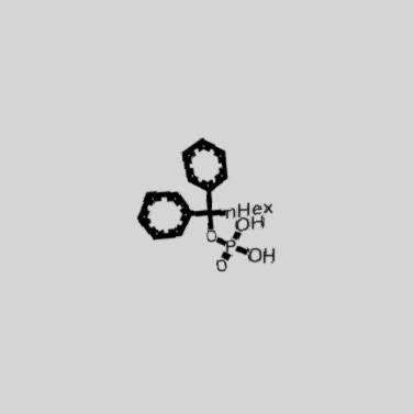 CCCCCCC(OP(=O)(O)O)(c1ccccc1)c1ccccc1